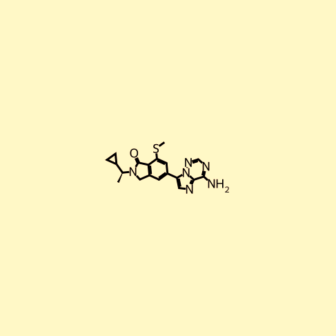 CSc1cc(-c2cnc3c(N)ncnn23)cc2c1C(=O)N([C@@H](C)C1CC1)C2